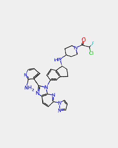 Nc1ncccc1-c1nc2ccc(-n3cccn3)nc2n1-c1ccc2c(c1)CC[C@@H]2NC1CCN(C(=O)C(F)Cl)CC1